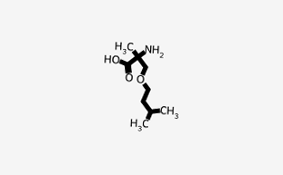 CC(C)CCOCC(C)(N)C(=O)O